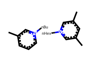 CCCCCC[n+]1cc(C)cc(C)c1.CCCC[n+]1cccc(C)c1